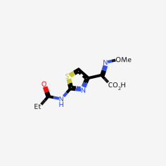 CCC(=O)Nc1nc(C(=NOC)C(=O)O)cs1